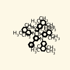 CC1(C)CCC(C)(C)C2=CC(N3c4cc5c(cc4B4c6c(cc(-c7ccccc7)cc63)N(C3=CC6C(C=C3)C(C)(C)CCC6(C)C)c3sc6cc7c(cc6c34)C(C)(C)CCC7(C)C)C(C)(C)CCC5(C)C)CC=C21